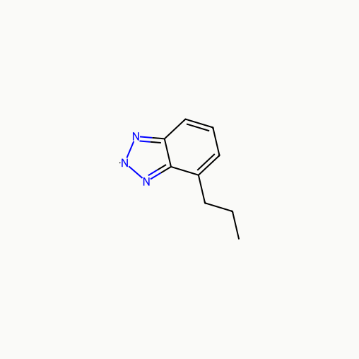 CCCc1cccc2c1=N[N]N=2